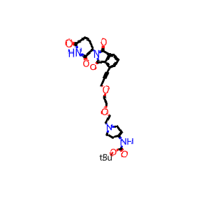 CC(C)(C)OC(=O)NC1CCN(CCOCCOCC#Cc2cccc3c2C(=O)N(C2CCC(=O)NC2=O)C3=O)CC1